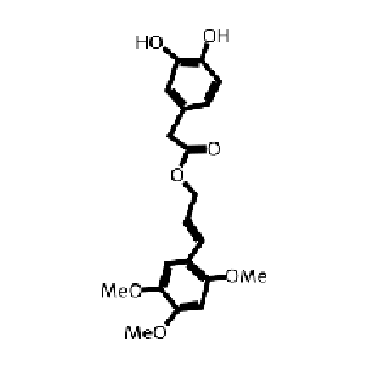 COc1cc(OC)c(OC)cc1/C=C/COC(=O)Cc1ccc(O)c(O)c1